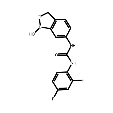 O=C(Nc1ccc2c(c1)B(O)OC2)Nc1ccc(F)cc1F